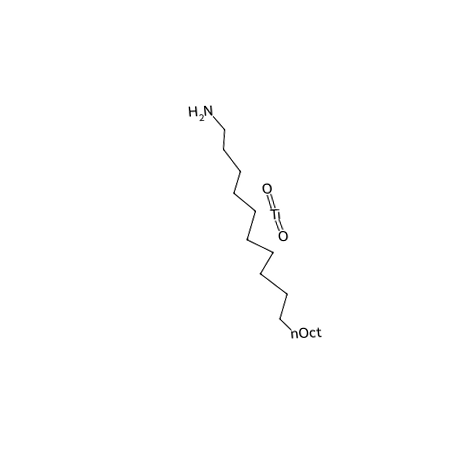 CCCCCCCCCCCCCCCCCCN.[O]=[Ti]=[O]